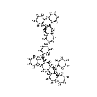 c1ccc(-c2nc3ccc(-c4ccc(-n5c6ccccc6c6cc7c8ccc9ccccc9c8n(-c8ccccc8)c7cc65)nc4)cc3nc2-c2ccccc2)cc1